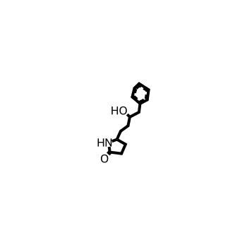 O=C1CCC(CCC(O)Cc2ccccc2)N1